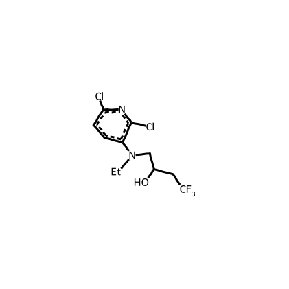 CCN(CC(O)CC(F)(F)F)c1ccc(Cl)nc1Cl